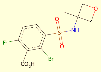 CC1(NS(=O)(=O)c2ccc(F)c(C(=O)O)c2Br)COC1